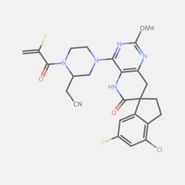 C=C(F)C(=O)N1CCN(c2nc(OC)nc3c2NC(=O)C2(CCc4c(Cl)cc(F)cc42)C3)CC1CC#N